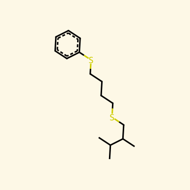 CC(C)C(C)CSCCCCSc1ccccc1